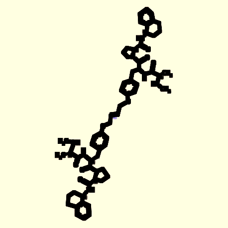 CN[C@@H](C)C(=O)NC(Cc1ccc(OC/C=C/COc2ccc(C[C@H](NC(=O)[C@H](C)NC)C(=O)N3CCC[C@H]3C(=O)N[C@@H]3CCCc4ccccc43)cc2)cc1)C(=O)N1CCC[C@H]1C(=O)N[C@@H]1CCCc2ccccc21